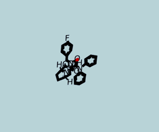 CN(Cc1ccc(F)cc1)C(=O)N1[C@H]2CC[C@@H]1[C@@H](C(=O)O)N(C(=O)N(c1ccccc1)c1ccccc1)C2